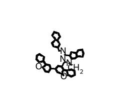 C=N/C(=N\C(=N/Cc1ccc2ccccc2c1)c1ccc2ccccc2c1)c1cc(-c2ccc3oc4ccccc4c3c2)cc2oc3ccccc3c12